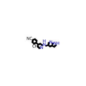 Cc1cc(C#N)ccc1-c1ccnc(NCc2cnc3[nH]ccc3c2)c1